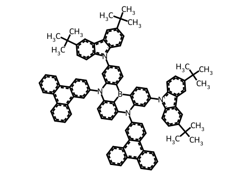 CC(C)(C)c1ccc2c(c1)c1cc(C(C)(C)C)ccc1n2-c1ccc2c(c1)N(c1ccc3c4ccccc4c4ccccc4c3c1)c1cccc3c1B2c1ccc(-n2c4ccc(C(C)(C)C)cc4c4cc(C(C)(C)C)ccc42)cc1N3c1ccc2c3ccccc3c3ccccc3c2c1